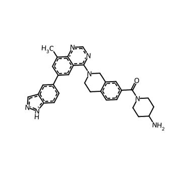 Cc1cc(-c2ccc3[nH]ncc3c2)cc2c(N3CCc4ccc(C(=O)N5CCC(N)CC5)cc4C3)ncnc12